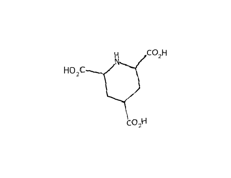 O=C(O)C1CC(C(=O)O)NC(C(=O)O)C1